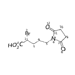 O=C(O)C(Br)CCCN1C(=O)CCC1=O